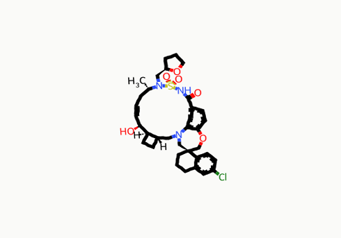 C[C@H]1C/C=C\[C@H](O)[C@@H]2CC[C@H]2CN2C[C@@]3(CCCc4cc(Cl)ccc43)COc3ccc(cc32)C(=O)NS(=O)(=O)N1C[C@H]1CCCO1